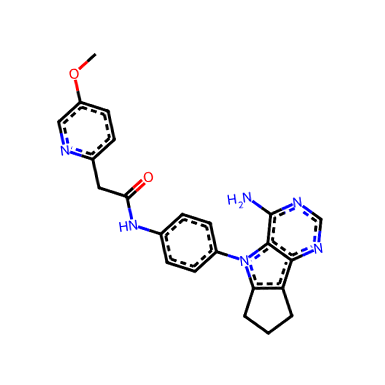 COc1ccc(CC(=O)Nc2ccc(-n3c4c(c5ncnc(N)c53)CCC4)cc2)nc1